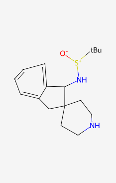 CC(C)(C)[S+]([O-])NC1c2ccccc2CC12CCNCC2